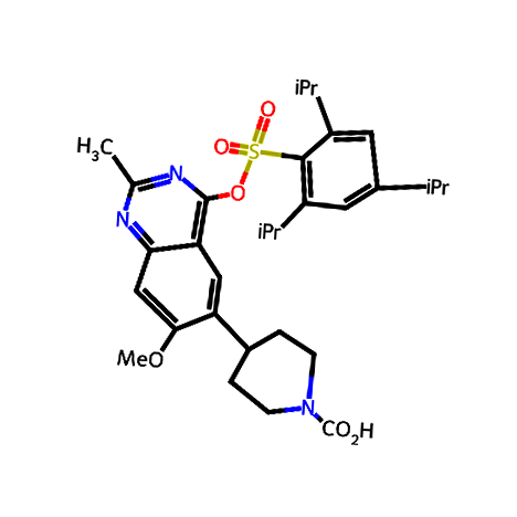 COc1cc2nc(C)nc(OS(=O)(=O)c3c(C(C)C)cc(C(C)C)cc3C(C)C)c2cc1C1CCN(C(=O)O)CC1